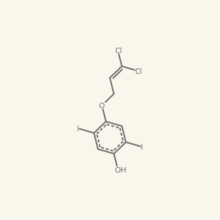 Oc1cc(I)c(OCC=C(Cl)Cl)cc1I